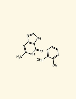 Nc1nc2nc[nH]c2c(=O)[nH]1.O=Cc1ccccc1O